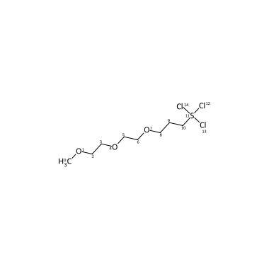 COCCOCCOCCCS(Cl)(Cl)Cl